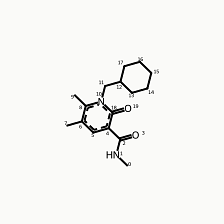 CNC(=O)c1cc(C)c(C)n(CC2CCCCC2)c1=O